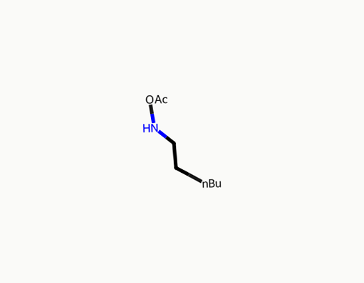 CCCCCCNOC(C)=O